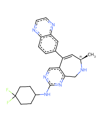 C[C@@H]1C=C(c2ccc3nccnc3c2)c2cnc(NC3CCC(F)(F)CC3)nc2CN1